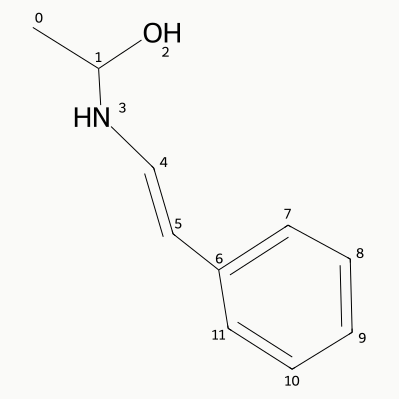 CC(O)NC=Cc1ccccc1